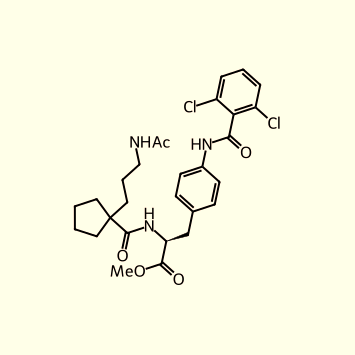 COC(=O)[C@H](Cc1ccc(NC(=O)c2c(Cl)cccc2Cl)cc1)NC(=O)C1(CCCNC(C)=O)CCCC1